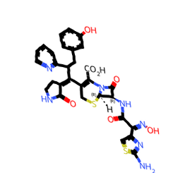 Nc1nc(C(=NO)C(=O)N[C@@H]2C(=O)N3C(C(=O)O)=C(C(=C4CCNC4=O)C(Cc4cccc(O)c4)c4ccccn4)CS[C@H]23)cs1